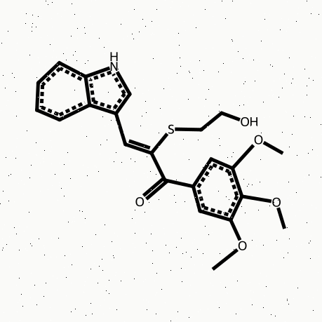 COc1cc(C(=O)C(=Cc2c[nH]c3ccccc23)SCCO)cc(OC)c1OC